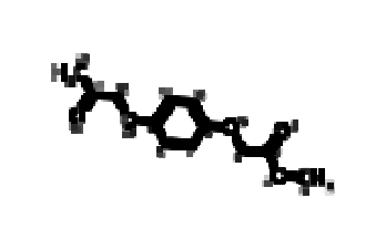 COC(=O)COc1ccc(OCC(C)=O)cc1